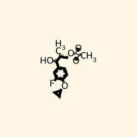 C[C@H](COS(C)(=O)=O)[C@H](O)c1ccc(OC2CC2)c(F)c1